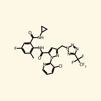 Cc1cc(F)cc(C(=O)NC2CC2)c1NC(=O)c1cc(Cn2nnc(C(F)(F)C(F)(F)F)n2)nn1-c1ncccc1Cl